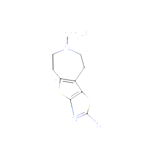 CCOC(=O)N1CCc2sc3nc(N)sc3c2CC1